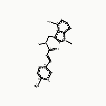 CN(Cc1cn(C)c2cccc(F)c12)C(=O)C=Cc1ccc(N)nc1